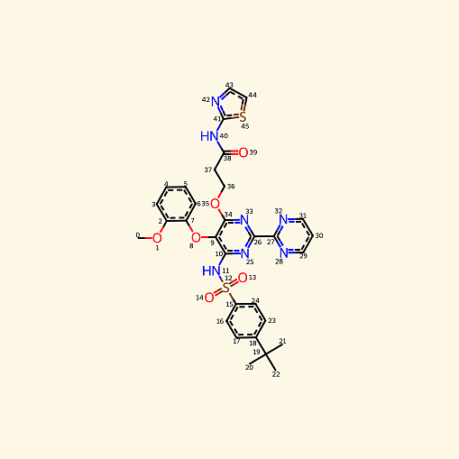 COc1ccccc1Oc1c(NS(=O)(=O)c2ccc(C(C)(C)C)cc2)nc(-c2ncccn2)nc1OCCC(=O)Nc1nccs1